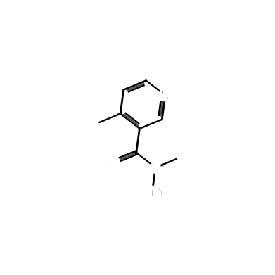 Cc1ccncc1C(=O)N(C)C(C)C